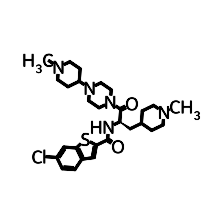 CN1CCC(C[C@@H](NC(=O)c2cc3ccc(Cl)cc3s2)C(=O)N2CCN(C3CCN(C)CC3)CC2)CC1